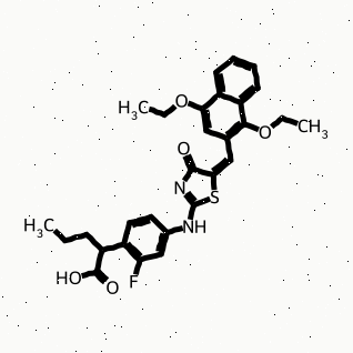 CCCC(C(=O)O)c1ccc(NC2=NC(=O)C(=Cc3cc(OCC)c4ccccc4c3OCC)S2)cc1F